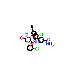 C#Cc1ccc(Oc2ccc(C(N)=O)cc2)c([C@H]2NC(=O)C[C@@H](c3cccc(Cl)c3)[C@]23C(=O)Nc2cc(Cl)ccc23)c1